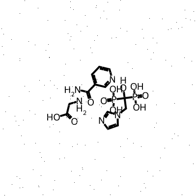 NC(=O)c1cccnc1.NCC(=O)O.O=P(O)(O)C(O)(Cn1ccnc1)P(=O)(O)O